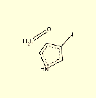 C=O.Ic1cc[nH]c1